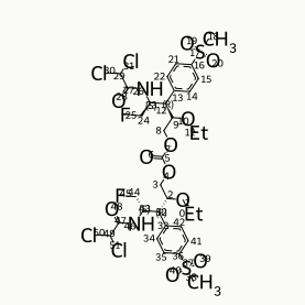 CCOC(COC(=O)OCC(OCC)[C@H](c1ccc(S(C)(=O)=O)cc1)[C@@H](CF)NC(=O)C(Cl)Cl)[C@H](c1ccc(S(C)(=O)=O)cc1)[C@@H](CF)NC(=O)C(Cl)Cl